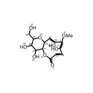 COC1=C(O)\C=C\C(=O)OC2C(\C=C\1O)OC(CO)C(O)C2O